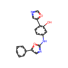 Oc1cc(Nc2ncc(-c3ccccc3)o2)ccc1-c1cnco1